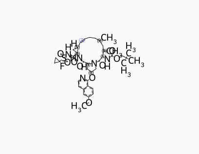 COc1ccc2c(O[C@@H]3C[C@H]4C(=O)N[C@]5(C(=O)NS(=O)(=O)C6(F)CC6)C[C@H]5/C=C\CC[C@@H](C)C[C@@H](C)[C@H](NC(=O)OCC(C)(C)C)C(=O)N4C3)nccc2c1